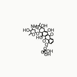 CC(=O)[C@]1(O)Cc2c(O)c3c(c(O)c2[C@@H](OC2CC(N)C(O)C(C)O2)C1)C(=O)c1c(OCOP(=O)(O)O)cccc1C3=O